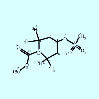 [2H]C1([2H])CC(OS(C)(=O)=O)CC([2H])([2H])N1C(=O)OC(C)(C)C